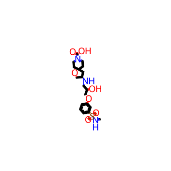 CNS(=O)(=O)c1cccc(OCC(O)CN[C@H]2COC3(CCN(C(=O)O)CC3)C2)c1